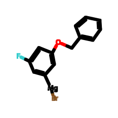 Fc1cc(OCc2ccccc2)c[c]([Mg][Br])c1